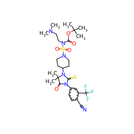 CN(C)CCN(C(=O)OC(C)(C)C)S(=O)(=O)N1CCC(N2C(=S)N(c3ccc(C#N)c(C(F)(F)F)c3)C(=O)C2(C)C)CC1